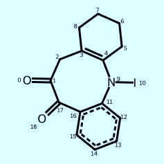 O=C1CC2=C(CCCC2)N(I)c2ccccc2C1=O